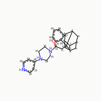 CC1C2CC3CC1CC(C2)C3(CC(=O)N1CCN(c2ccncc2)CC1)c1ccccc1